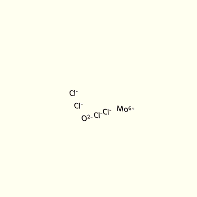 [Cl-].[Cl-].[Cl-].[Cl-].[Mo+6].[O-2]